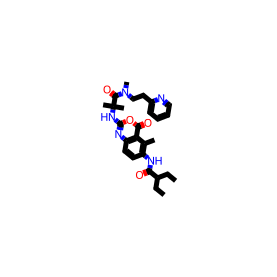 CCC(CC)C(=O)Nc1ccc2nc(NC(C)(C)C(=O)N(C)CCc3ccccn3)oc(=O)c2c1C